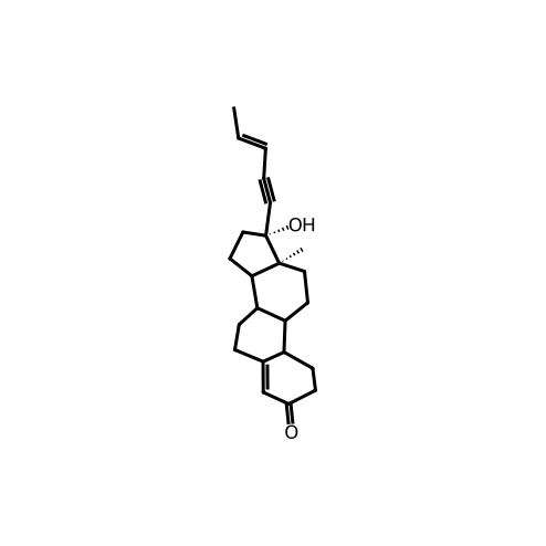 C/C=C/C#C[C@]1(O)CCC2C3CCC4=CC(=O)CCC4C3CC[C@@]21C